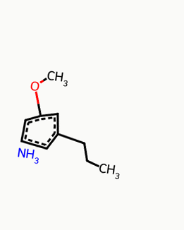 CCCc1cccc(OC)c1.N